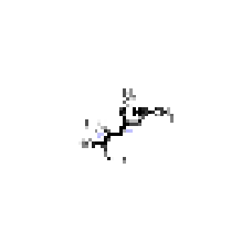 C=C/C(=C\C(C)=C(/C)O)CBC